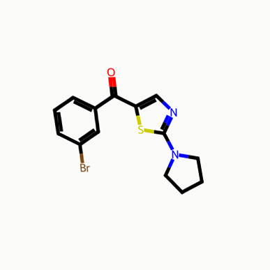 O=C(c1cccc(Br)c1)c1cnc(N2CCCC2)s1